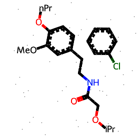 CCCOc1ccc(CCNC(=O)COC(C)C)cc1OC.Clc1ccccc1